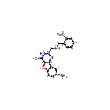 Bc1ccc2oc3c(=O)[nH]c(CNCc4ccccc4OC)nc3c2c1